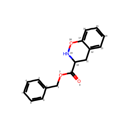 O=C(OCc1ccccc1)C1Cc2ccccc2ON1